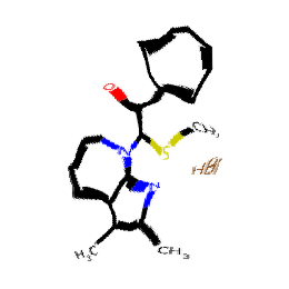 Br.CSC(C(=O)c1ccccc1)n1cccc2c(C)c(C)nc1-2